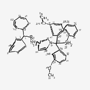 BC(c1ccccc1)c1ccccc1.COc1cccc(C([SiH2]c2ccccc2)(c2cccc(OC)c2)n2ccnc2)c1